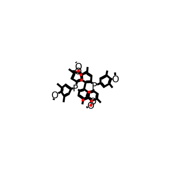 COc1c(C)cc(P(c2cc(C)c(OC)c(C)c2)c2cc(C)c(OC)c(C)c2-c2c(P(c3cc(C)c(OC)c(C)c3)c3cc(C)c(OC)c(C)c3)cc(C)c(OC)c2C)cc1C